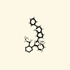 COC(=O)C1CCCCC1C1=C2C=NC=C[N+]2(N)C(c2ccc3ccc(-c4ccccc4)nc3c2)=N1